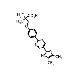 Cc1nc(C2=CCC(c3ccc(OCC(C)(C)C(=O)O)cc3)N=C2)[nH]c1C(F)(F)F